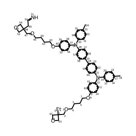 CCC1(COCCCCOc2ccc(N(c3ccc(C)cc3)c3ccc(-c4ccc(N(c5ccc(C)cc5)c5ccc(OCCCCOCC6(CC=N)COC6)cc5)cc4)cc3)cc2)COC1